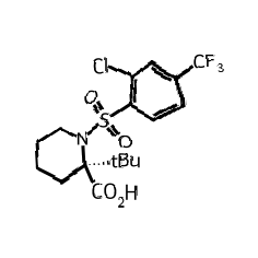 CC(C)(C)[C@]1(C(=O)O)CCCCN1S(=O)(=O)c1ccc(C(F)(F)F)cc1Cl